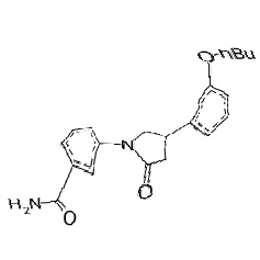 CCCCOc1cccc(C2CC(=O)N(c3cccc(C(N)=O)c3)C2)c1